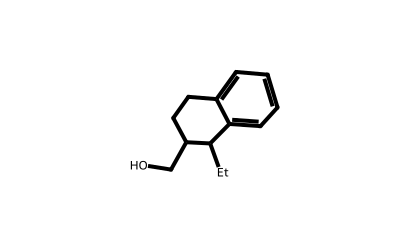 CCC1c2ccccc2CCC1CO